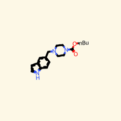 CCCCOC(=O)N1CCN(Cc2ccc3[nH]ccc3c2)CC1